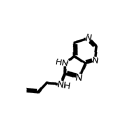 C=CCNc1nc2ncncc2[nH]1